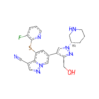 N#Cc1cnn2cc(-c3cn([C@H]4CCCNC4)nc3CO)cc(Sc3ncccc3F)c12